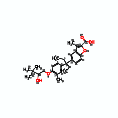 CCC(CC)(c1ccc(OCC(O)C(C)(C)C)c(C)c1)c1ccc2oc(C(=O)O)c(C)c2c1